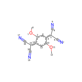 COc1cc(=C(C#N)C#N)c(OC)cc1=C(C#N)C#N